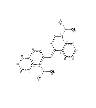 CC(C)N1C=C/C(=C\c2ccc3ccccc3[n+]2C(C)C)c2ccccc21